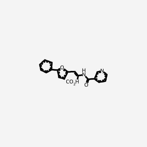 O=C(O)/C(=C\c1ccc(-c2ccccc2)o1)NC(=O)c1cccnc1